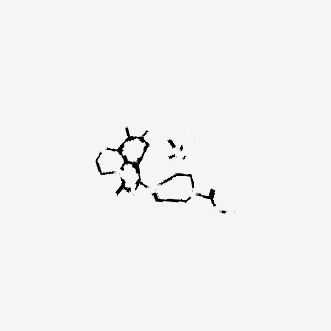 CC(C)(C)OC(=O)N1CCN(c2nc(=O)n3c4c(c(Br)c(Cl)cc24)SCC3)[C@H](CS(C)(=O)=O)C1